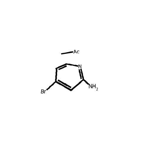 CC(C)=O.Nc1cc(Br)ccn1